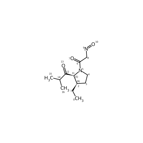 CC[C@@H]1CCN(C(=O)CN=O)[C@@H]1C(=O)C(C)C